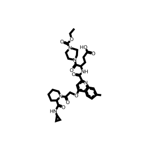 CCOC(=O)N1CCN(C(=O)C(CCC(=O)O)NC(=O)c2cc(OCC(=O)N3CCCCC3C(=O)NC3CC3)c3ccc(C)cc3n2)CC1